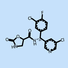 O=C1NCC(C(=O)N[C@@H](c2cncc(Cl)c2)c2ccc(F)c(Cl)c2)O1